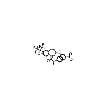 COC(=O)c1cccc(OC2CCc3cc(C(O)(C(F)(F)F)C(F)(F)F)ccc3N(C(=O)C(C)c3ccccc3)C2)c1